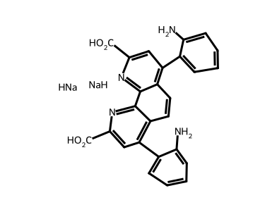 Nc1ccccc1-c1cc(C(=O)O)nc2c1ccc1c(-c3ccccc3N)cc(C(=O)O)nc12.[NaH].[NaH]